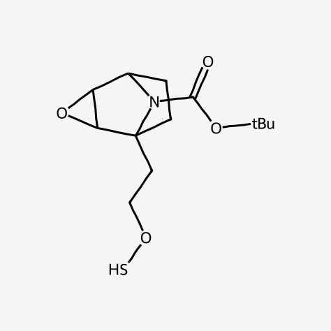 CC(C)(C)OC(=O)N1C2CCC1(CCOS)C1OC21